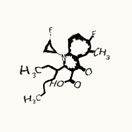 CCCCC(CC)c1c(C(=O)O)c(=O)c2c(C)c(F)ccc2n1[C@@H]1C[C@@H]1F